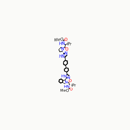 COC(=O)NC(C(=O)N1CCC[C@H]1c1ncc(-c2ccc(-c3ccc(-c4cnc(C5c6ccccc6CN5C(=O)[C@@H](NC(=O)OC)C(C)C)[nH]4)cc3)cc2)[nH]1)C(C)C